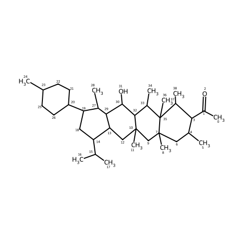 CC(=O)C1C(C)CC2(C)CC3(C)CC4C(C(C)C)CC(C5CCC(C)CC5)C(C)C4C(O)C3C(C)C2(C)C1C